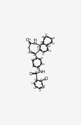 O=C1CN=C(c2ccc(NC(=O)c3cccnc3Cl)cc2)c2ccc3ccccc3c2N1